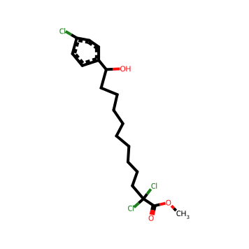 COC(=O)C(Cl)(Cl)CCCCCCCCCC(O)c1ccc(Cl)cc1